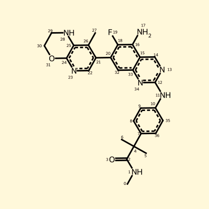 CNC(=O)C(C)(C)c1ccc(Nc2ncc3c(N)c(F)c(-c4cnc5c(c4C)NCCO5)cc3n2)cc1